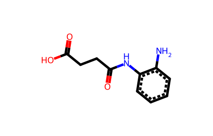 Nc1ccccc1NC(=O)CCC(=O)O